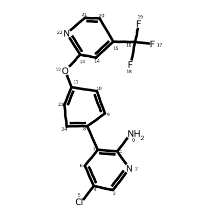 Nc1ncc(Cl)cc1-c1ccc(Oc2cc(C(F)(F)F)ccn2)cc1